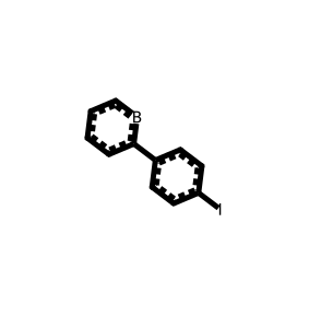 Ic1ccc(-c2bcccc2)cc1